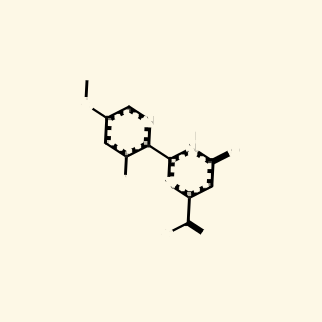 COc1cnc(-c2nc(C(=O)O)cc(=O)[nH]2)c(Cl)c1